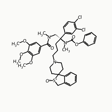 COc1cc(C(=O)N(C)C[C@](CCCN2CCC3(CC2)c2ccccc2C[S+]3[O-])(c2ccc(Cl)c(Cl)c2)N(C)C(=O)Oc2ccccc2)cc(OC)c1OC